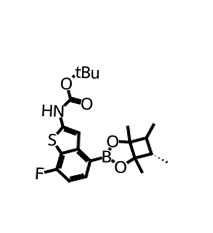 CC1[C@H](C)C2(C)OB(c3ccc(F)c4sc(NC(=O)OC(C)(C)C)cc34)OC12C